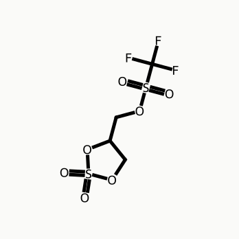 O=S1(=O)OCC(COS(=O)(=O)C(F)(F)F)O1